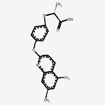 Cc1cc(C)c2ccc(Oc3ccc(O[C@H](C)C(=O)O)cc3)nc2c1